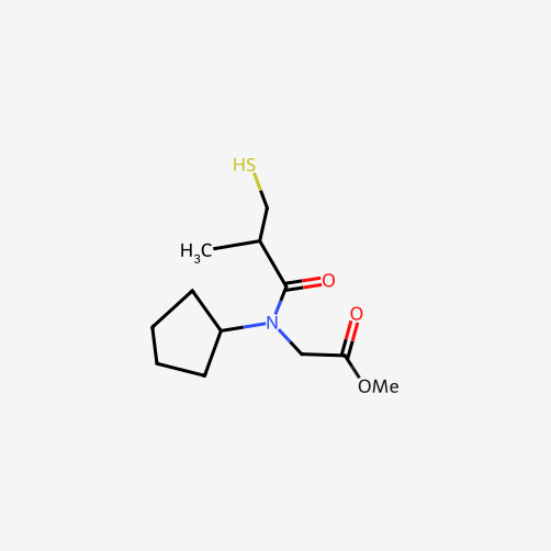 COC(=O)CN(C(=O)C(C)CS)C1CCCC1